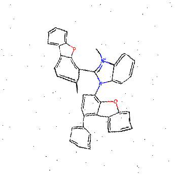 Cc1ccc2c(oc3ccccc32)c1-c1n(-c2ccc(-c3ccccc3)c3c2oc2ccccc23)c2ccccc2[n+]1C